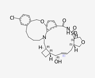 O=C1NS(=O)(=O)[C@@H]2COC[C@@H]2C/C=C/[C@H](O)[C@@H]2CC[C@H]2CN2CCCCc3cc(Cl)ccc3COc3ccc1cc32